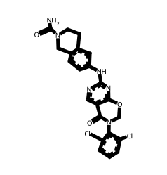 NC(=O)N1CCc2cc(Nc3ncc4c(n3)OCN(c3c(Cl)cccc3Cl)C4=O)ccc2C1